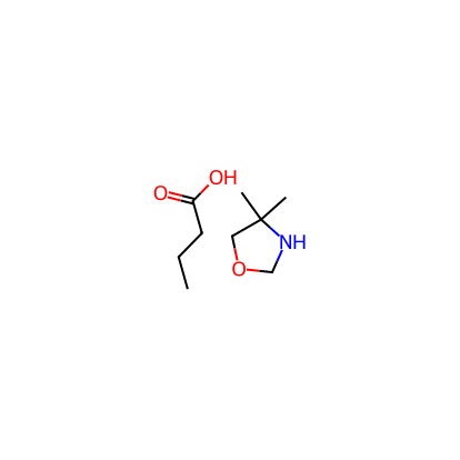 CC1(C)COCN1.CCCC(=O)O